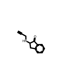 C#CCNC1Cc2ccccc2C1=O